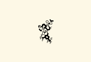 CCOC(=O)N(Cc1cc(C(F)(F)F)cc(C(F)(F)F)c1)[C@H]1C[C@@H](C)N(C(=O)OC(C)C)c2ccc(OC)nc21